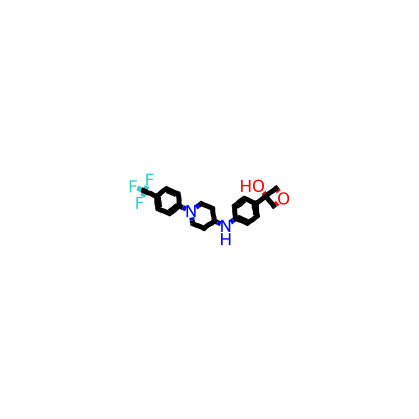 OC1(c2ccc(NC3CCN(c4ccc(C(F)(F)F)cc4)CC3)cc2)COC1